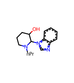 CCCN1CCCC(O)C1n1cnc2ccccc21